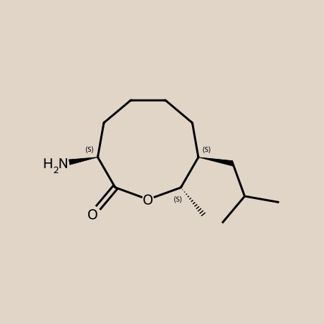 CC(C)C[C@@H]1CCCC[C@H](N)C(=O)O[C@H]1C